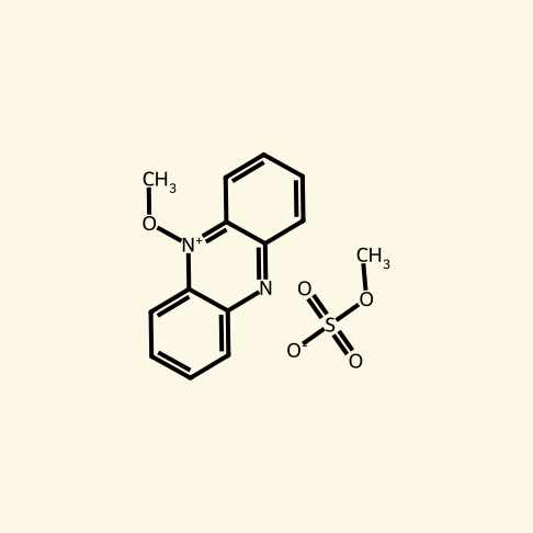 COS(=O)(=O)[O-].CO[n+]1c2ccccc2nc2ccccc21